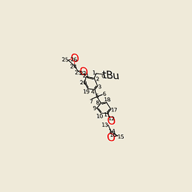 CC(C)(C)Cc1cc(C(C)(C)c2ccc(OCC3CO3)cc2)ccc1OCC1CO1